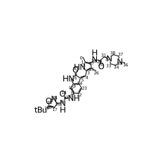 Cc1[nH]c(C=C2C(=O)Nc3cc(NC(=O)Nc4cc(C(C)(C)C)on4)ccc32)c(C)c1NC(=O)CN1CCN(C)CC1